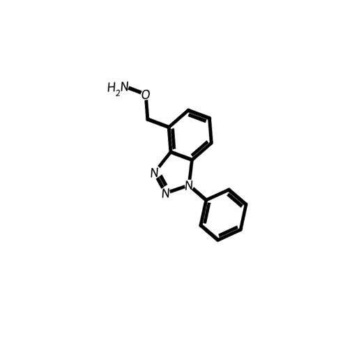 NOCc1cccc2c1nnn2-c1ccccc1